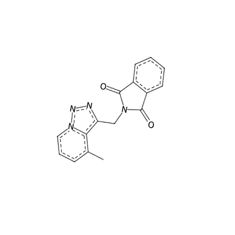 Cc1cccn2nnc(CN3C(=O)c4ccccc4C3=O)c12